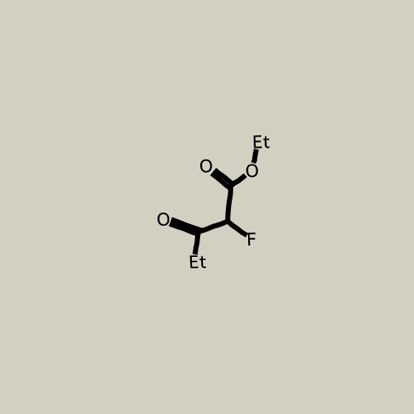 CCOC(=O)C(F)C(=O)CC